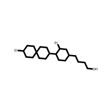 CCC1CCC2(CC1)CCC(C1CCC(CCCCO)CC1CC)CC2